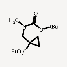 CCOC(=O)C1(CN(C)C(=O)OC(C)(C)C)CC1